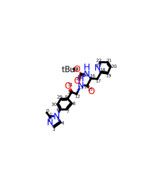 Cc1nccn1-c1ccc(C(=O)CNC(=O)C(Cc2ccccn2)NC(=O)OC(C)(C)C)cc1